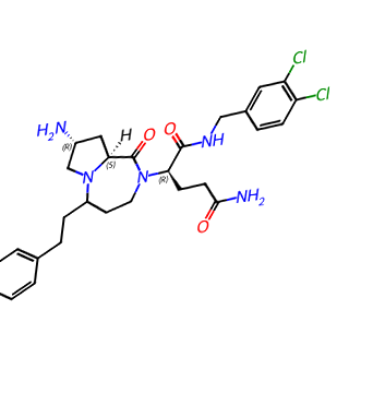 NC(=O)CC[C@H](C(=O)NCc1ccc(Cl)c(Cl)c1)N1CCC(CCc2ccccc2)N2C[C@H](N)C[C@H]2C1=O